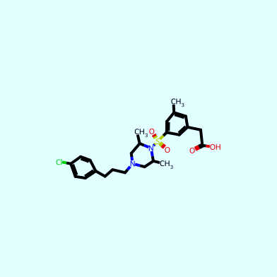 Cc1cc(CC(=O)O)cc(S(=O)(=O)N2C(C)CN(CCCc3ccc(Cl)cc3)CC2C)c1